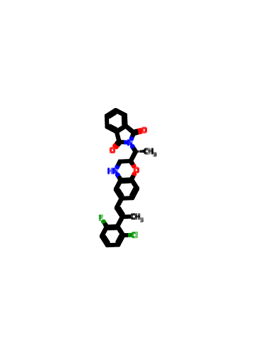 C/C(=C\c1ccc2c(c1)NCC([C@@H](C)N1C(=O)c3ccccc3C1=O)O2)c1c(F)cccc1Cl